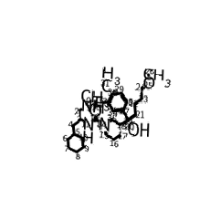 CNC[C@H](CC1CCCCC1)NC(=O)N1CCC[C@@H]([C@](O)(CCCCOC)c2ccc(C)c(F)c2)C1